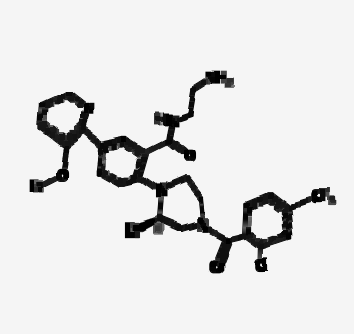 CCOc1cccnc1-c1ccc(N2CCN(C(=O)c3ccc(C(F)(F)F)cc3Cl)C[C@H]2CC)c(C(=O)NCCN)c1